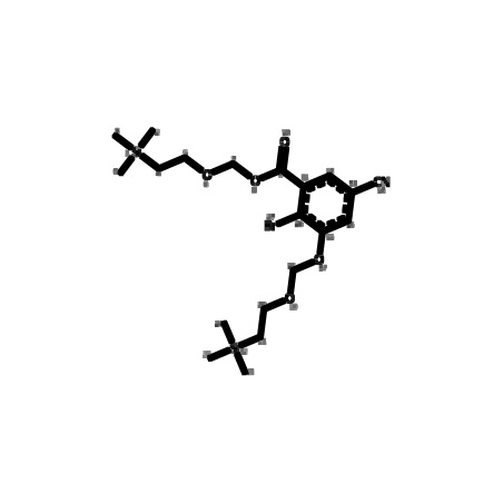 C[Si](C)(C)CCOCOC(=O)c1cc(C#N)cc(OCOCC[Si](C)(C)C)c1Br